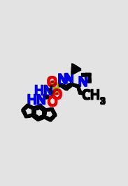 CCC(c1cc(S(=O)(=O)NC(=O)Nc2c3c(cc4c2CCC4)CCC3)nn1C1CC1)N1CCC1